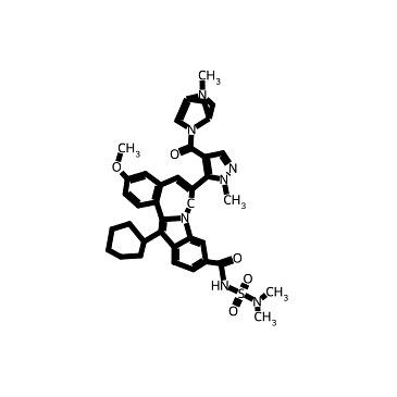 COc1ccc2c(c1)C=C(c1c(C(=O)N3C=C4CC3CN4C)cnn1C)Cn1c-2c(C2CCCCC2)c2ccc(C(=O)NS(=O)(=O)N(C)C)cc21